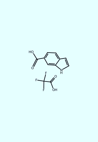 O=C(O)C(F)(F)F.O=C(O)c1ccc2cc[nH]c2c1